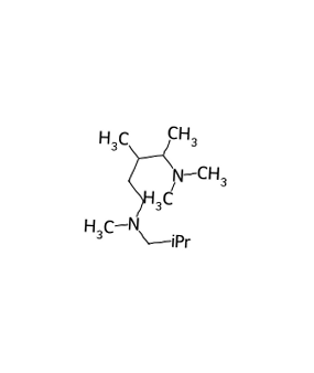 CC(C)CN(C)CCC(C)C(C)N(C)C